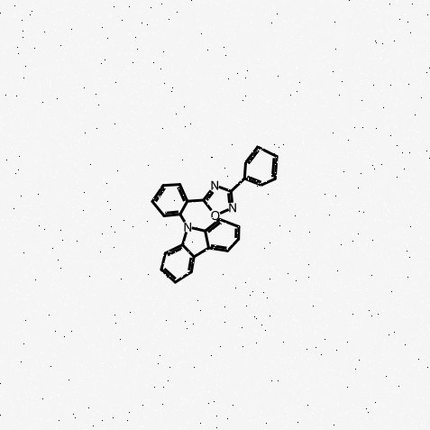 c1ccc(-c2noc(-c3ccccc3-n3c4ccccc4c4ccccc43)n2)cc1